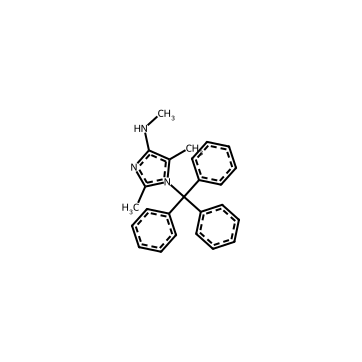 CNc1nc(C)n(C(c2ccccc2)(c2ccccc2)c2ccccc2)c1C